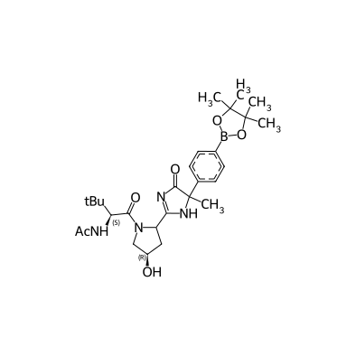 CC(=O)N[C@H](C(=O)N1C[C@H](O)CC1C1=NC(=O)C(C)(c2ccc(B3OC(C)(C)C(C)(C)O3)cc2)N1)C(C)(C)C